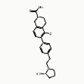 CC(=O)N1CCc2c(ccc(-c3ccc(CCN4CCC[C@H]4C)cc3)c2Cl)C1